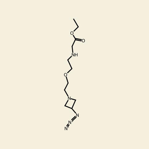 CCOC(=O)CNCCOCCN1CC(N=[N+]=[N-])C1